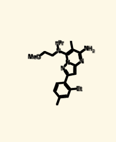 CCCN(CCOC)c1c(C)c(N)nc2cc(-c3ccc(C)cc3CC)nn12